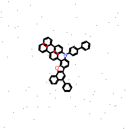 c1ccc(-c2ccc(-c3c(N(c4ccc(-c5ccccc5)cc4)c4ccc(-c5ccccc5)cc4)ccc4c3oc3c5ccccc5c(-c5ccccc5)cc43)cc2)cc1